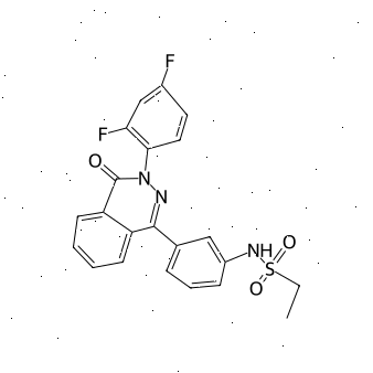 CCS(=O)(=O)Nc1cccc(-c2nn(-c3ccc(F)cc3F)c(=O)c3ccccc23)c1